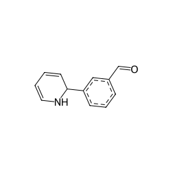 O=Cc1cccc(C2C=CC=CN2)c1